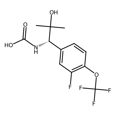 CC(C)(O)[C@@H](NC(=O)O)c1ccc(OC(F)(F)F)c(F)c1